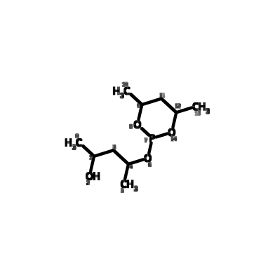 CC(O)CC(C)OP1OC(C)CC(C)O1